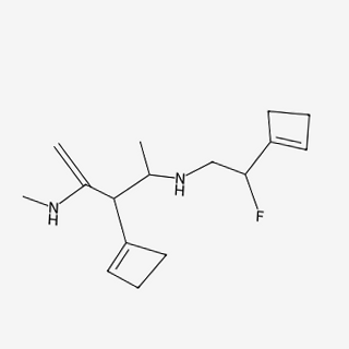 C=C(NC)C(C1=CCC1)C(C)NCC(F)C1=CCC1